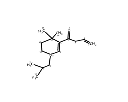 C=CCC(=O)C1=CN(CC(C)C)CCC1(C)C